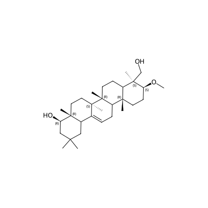 CO[C@H]1CC[C@@]2(C)C(CC[C@]3(C)C2CC=C2C4CC(C)(C)C[C@@H](O)[C@]4(C)CC[C@]23C)[C@@]1(C)CO